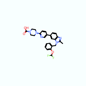 Cc1nc2ccc(-c3ccc(N4CCN(C(=O)O)CC4)nc3)cc2n1Cc1ccccc1OC(F)F